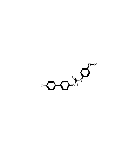 CC(C)Oc1ccc(OC(=O)Nc2ccc(-c3ccc(O)cc3)cc2)cc1